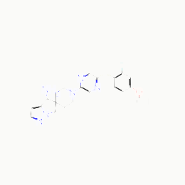 COc1ccc(Sc2cnc(N3CCC4(CC3)Cn3nccc3[C@H]4N)cn2)c(F)c1